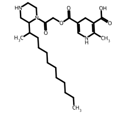 CCCCCCCCCCC(C)C1CNCCN1C(=O)COC(=O)C1=CNC(C)=C(C(=O)O)C1